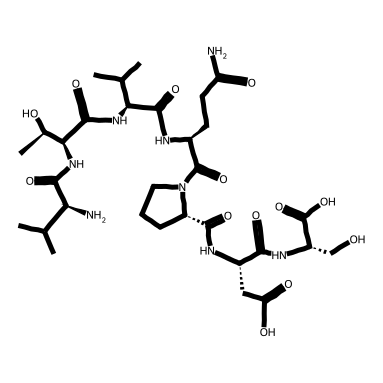 CC(C)[C@H](N)C(=O)N[C@H](C(=O)N[C@H](C(=O)N[C@@H](CCC(N)=O)C(=O)N1CCC[C@H]1C(=O)N[C@@H](CC(=O)O)C(=O)N[C@@H](CO)C(=O)O)C(C)C)[C@@H](C)O